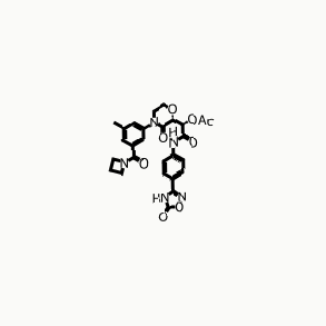 CC(=O)O[C@@H](C(=O)Nc1ccc(-c2noc(=O)[nH]2)cc1)[C@H]1OCCN(c2cc(C)cc(C(=O)N3CCC3)c2)C1=O